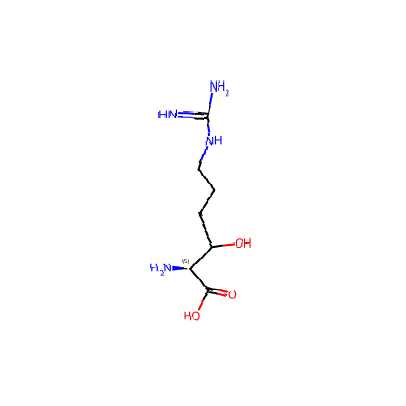 N=C(N)NCCCC(O)[C@H](N)C(=O)O